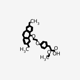 CCOC(Cc1ccc(OCCOC2c3ccc(CC)cc3C=Cc3ccc(CC)cc32)cc1)C(=O)O